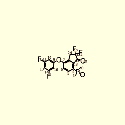 CP(C)(=O)c1ccc(Oc2cc(F)cc(F)c2)c2c1C(=O)C(F)(F)C2